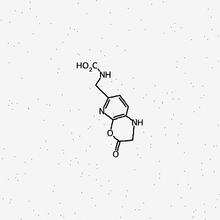 O=C(O)NCc1ccc2c(n1)OC(=O)CN2